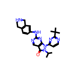 CC(C)n1c(=O)c2cnc(Nc3ccc4c(c3)CNCC4)nc2n1-c1ccnc(C(C)(C)C)n1